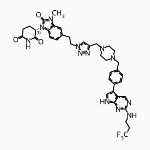 Cn1c(=O)n([C@H]2CCC(=O)NC2=O)c2ccc(CCn3cc(CN4CCN(Cc5ccc(-c6c[nH]c7nc(NCCC(F)(F)F)ncc67)cc5)CC4)nn3)cc21